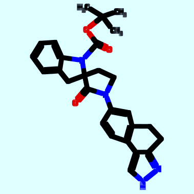 CC(C)(C)OC(=O)N1c2ccccc2CC12CCN(c1ccc3c(c1)CCc1n[nH]cc1-3)C2=O